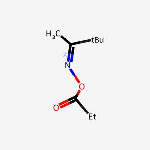 CCC(=O)O/N=C(/C)C(C)(C)C